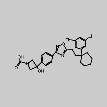 O=C(O)N1CC(O)(c2ccc(-c3noc(CCC4(c5cc(Cl)cc(Cl)c5)CCCCC4)n3)cc2)C1